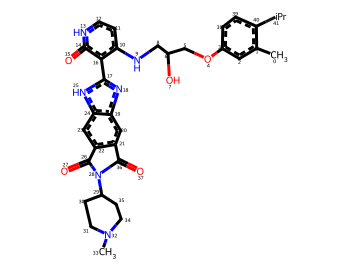 Cc1cc(OCC(O)CNc2cc[nH]c(=O)c2-c2nc3cc4c(cc3[nH]2)C(=O)N(C2CCN(C)CC2)C4=O)ccc1C(C)C